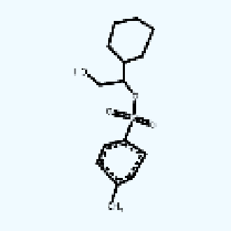 Cc1ccc(S(=O)(=O)OC(CO)C2CCCCC2)cc1